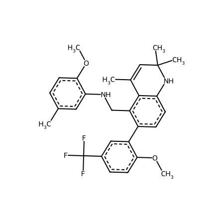 COc1ccc(C)cc1NCc1c(-c2cc(C(F)(F)F)ccc2OC)ccc2c1C(C)=CC(C)(C)N2